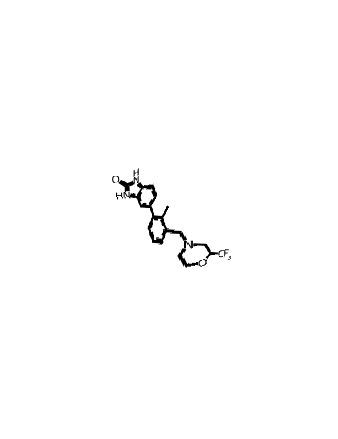 Cc1c(CN2CCOC(C(F)(F)F)C2)cccc1-c1ccc2[nH]c(=O)[nH]c2c1